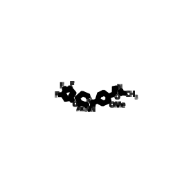 COc1cc(-c2nnc3n2CCCC3(Oc2cc(F)c(F)c(F)c2)C(C)=O)ccc1-c1cnc(C)o1